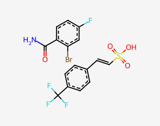 NC(=O)c1ccc(F)cc1Br.O=S(=O)(O)/C=C/c1ccc(C(F)(F)F)cc1